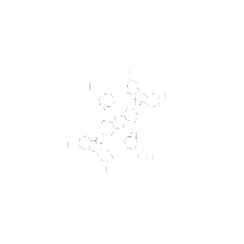 CC(C)(C)c1ccc(-c2c3ccc(-n4c5ccc(F)cc5c5cc(F)ccc54)cc3c(-c3ccc(C(C)(C)C)cn3)c3ccc(-n4c5ccc(F)cc5c5cc(F)ccc54)cc23)nc1